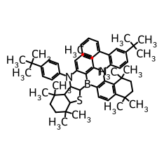 Cc1cc2c3c(c1)N(c1ccc(C(C)(C)C)cc1)C1C(SC4C1C(C)(C)CCC4(C)C)B3c1ccc3c(c1N2c1ccc(C(C)(C)C)cc1-c1ccccc1)C(C)(C)CCC3(C)C